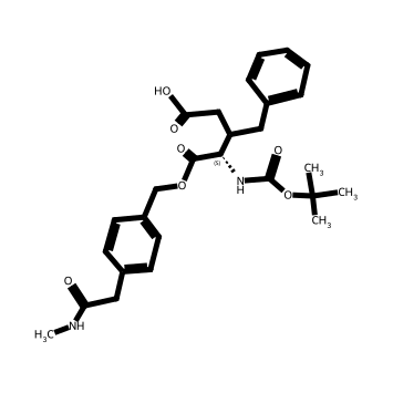 CNC(=O)Cc1ccc(COC(=O)[C@@H](NC(=O)OC(C)(C)C)C(CC(=O)O)Cc2ccccc2)cc1